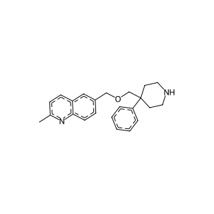 Cc1ccc2cc(COCC3(c4ccccc4)CCNCC3)ccc2n1